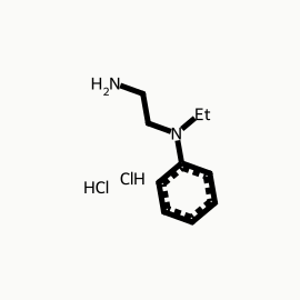 CCN(CCN)c1ccccc1.Cl.Cl